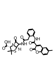 Cc1ccc2oc(=O)c(C(=O)Nc3ccccc3CC(=O)NC3C(=O)N4[C@@H]3SC(C)(C)[C@@H]4C(=O)O)cc2c1